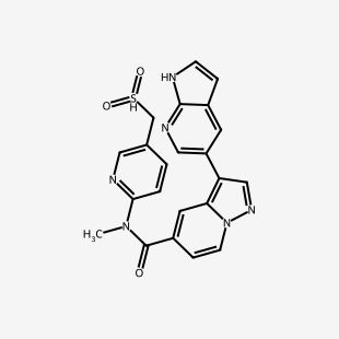 CN(C(=O)c1ccn2ncc(-c3cnc4[nH]ccc4c3)c2c1)c1ccc(C[SH](=O)=O)cn1